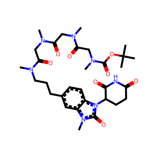 CN(CCCc1ccc2c(c1)n(C)c(=O)n2C1CCC(=O)NC1=O)C(=O)CN(C)C(=O)CN(C)C(=O)CN(C)C(=O)OC(C)(C)C